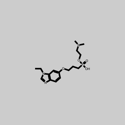 CCn1cnc2ccc(OCCCP(=O)(O)OCCN(C)C)cc21